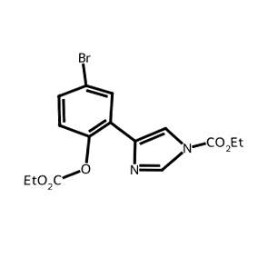 CCOC(=O)Oc1ccc(Br)cc1-c1cn(C(=O)OCC)cn1